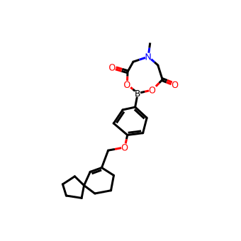 CN1CC(=O)OB(c2ccc(OCC3=CC4(CCCC4)CCC3)cc2)OC(=O)C1